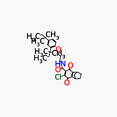 CCC(C)(C)c1ccc(OCCCNC(=O)C2=C(Cl)C(=O)C3=C(C2=O)C2CCC3C2)c(C(C)(C)CC)c1